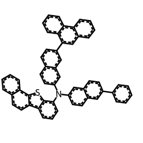 c1ccc(-c2ccc3cc(N(c4ccc5ccc(-c6cc7ccccc7c7ccccc67)cc5c4)c4cccc5c4sc4c6ccccc6ccc54)ccc3c2)cc1